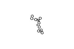 CC1(C)c2cc(-c3cccc4c3oc3ccccc34)ccc2-c2ccc(N(c3ccccc3)c3ccc(-c4cccc5ccccc45)cc3)cc21